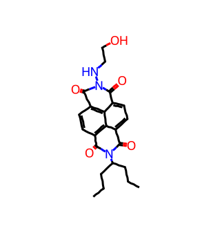 CCCC(CCC)N1C(=O)c2ccc3c4c(ccc(c24)C1=O)C(=O)N(NCCO)C3=O